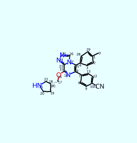 Cc1ccc(-c2c(-c3ccc(C#N)cc3)nc(OC[C@@H]3CCNC3)c3nncn23)cc1